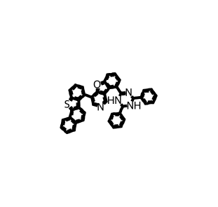 c1ccc(C2N=C(c3cccc4oc5c(-c6cccc7sc8c9ccccc9ccc8c67)cncc5c34)NC(c3ccccc3)N2)cc1